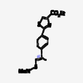 CCOC(=O)c1csc(-c2ccc(/C(C)=C/SNC)cc2)n1